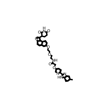 Cc1ccc2[nH]c(-c3ccc(OCC(=O)NCCOCCOc4ccc5c(ccc6occ(C7CCC(=O)NC7=O)c65)c4)cn3)nc2c1